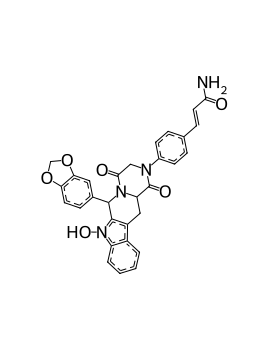 NC(=O)/C=C/c1ccc(N2CC(=O)N3C(Cc4c(n(O)c5ccccc45)C3c3ccc4c(c3)OCO4)C2=O)cc1